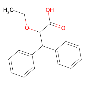 CCOC(C(=O)O)C(c1ccccc1)c1ccccc1